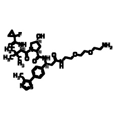 Cc1ncsc1-c1ccc([C@H](CC(=O)NCCOCCOCCN)NC(=O)[C@@H]2C[C@@H](O)CN2C(=O)[C@@H](NC(=O)C2(F)CC2)C(C)(C)C)cc1